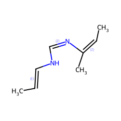 C/C=C(C)\N=C/N/C=C/C